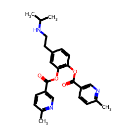 Cc1ccc(C(=O)Oc2ccc(CCNC(C)C)cc2OC(=O)c2ccc(C)nc2)cn1